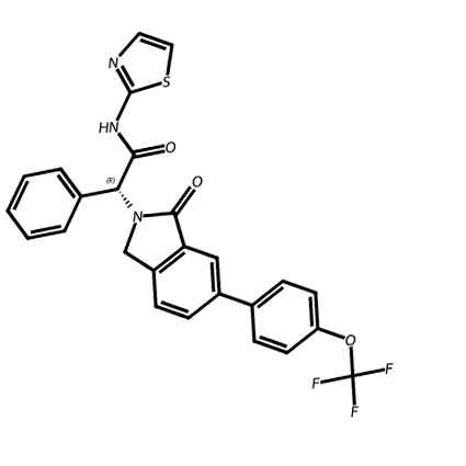 O=C(Nc1nccs1)[C@@H](c1ccccc1)N1Cc2ccc(-c3ccc(OC(F)(F)F)cc3)cc2C1=O